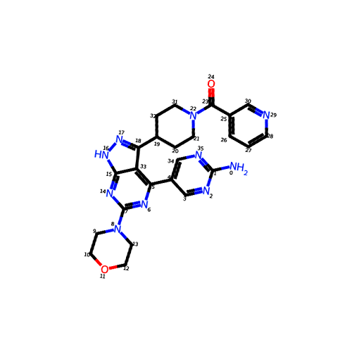 Nc1ncc(-c2nc(N3CCOCC3)nc3[nH]nc(C4CCN(C(=O)c5cccnc5)CC4)c23)cn1